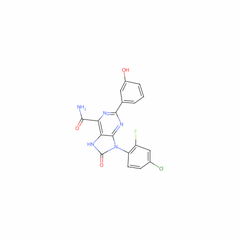 NC(=O)c1nc(-c2cccc(O)c2)nc2c1[nH]c(=O)n2-c1ccc(Cl)cc1F